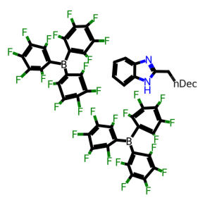 CCCCCCCCCCCc1nc2ccccc2[nH]1.Fc1c(F)c(F)c(B(c2c(F)c(F)c(F)c(F)c2F)c2c(F)c(F)c(F)c(F)c2F)c(F)c1F.Fc1c(F)c(F)c(B(c2c(F)c(F)c(F)c(F)c2F)c2c(F)c(F)c(F)c(F)c2F)c(F)c1F